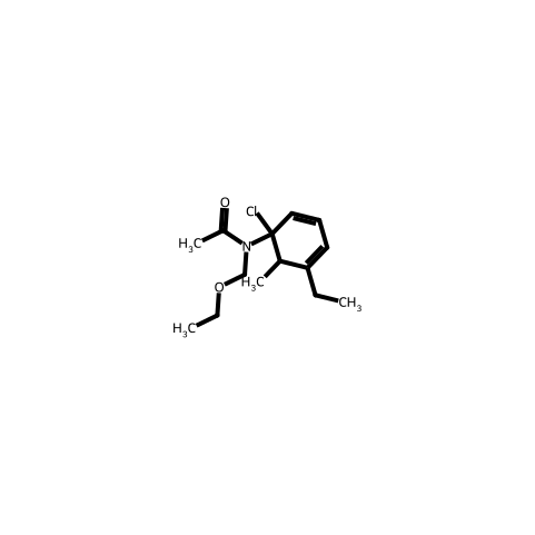 CCOCN(C(C)=O)C1(Cl)C=CC=C(CC)C1C